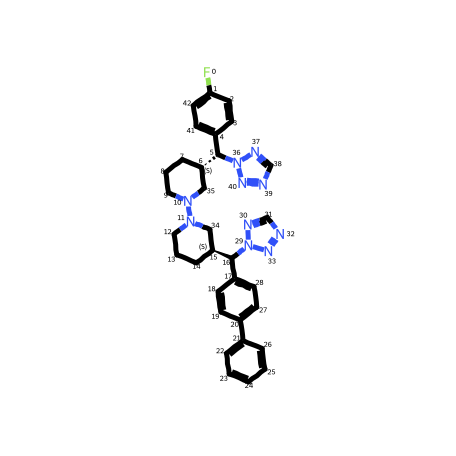 Fc1ccc(C([C@H]2CCCN(N3CCC[C@H](C(c4ccc(-c5ccccc5)cc4)n4ncnn4)C3)C2)n2ncnn2)cc1